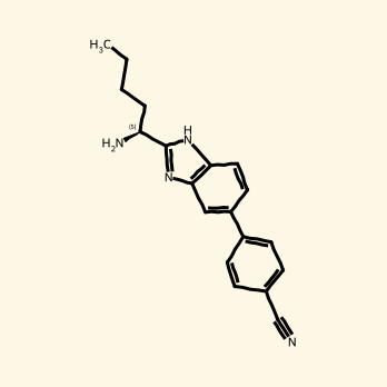 CCCC[C@H](N)c1nc2cc(-c3ccc(C#N)cc3)ccc2[nH]1